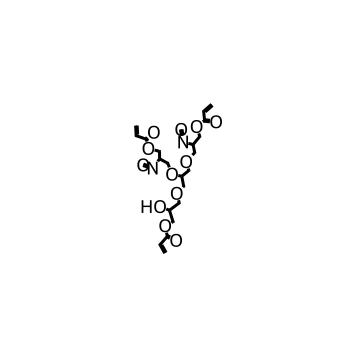 C=CC(=O)OCC(O)COCC(COCC(COC(=O)C=C)N=O)OCC(COC(=O)C=C)N=O